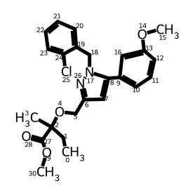 CCC(C)(OCc1cc(-c2cccc(OC)c2)n(Cc2ccccc2Cl)n1)C(=O)OC